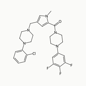 Cn1cc(CN2CCN(c3ccccc3Cl)CC2)cc1C(=O)N1CCN(c2cc(F)c(F)c(F)c2)CC1